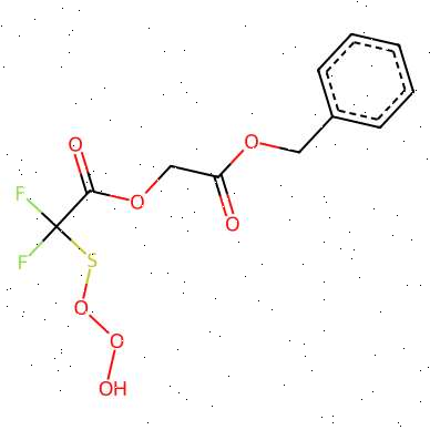 O=C(COC(=O)C(F)(F)SOOO)OCc1ccccc1